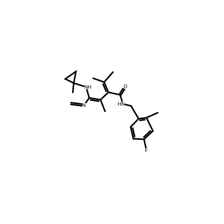 C=N/C(NC1(C)CC1)=C(\C)C(C(=O)NCc1ccc(F)cc1C)=C(C)C